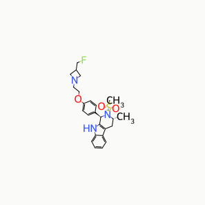 C[C@@H]1Cc2c([nH]c3ccccc23)[C@@H](c2ccc(OCCN3CC(CF)C3)cc2)N1S(C)(=O)=O